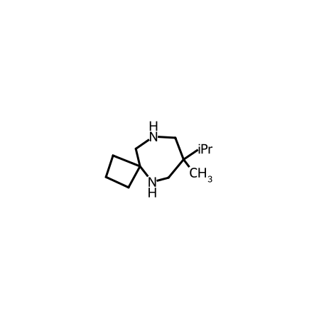 CC(C)C1(C)CNCC2(CCC2)NC1